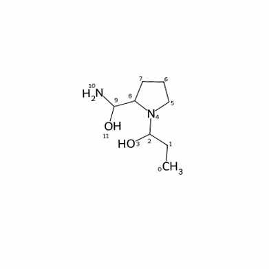 CCC(O)N1CCCC1C(N)O